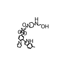 Cc1ccc2cc(-c3cc(S(=O)(=O)N(C)CC(=O)N4CCC(NCCO)CC4)ccc3N3CCCC3)[nH]c2c1